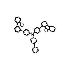 C1=CC(N(c2ccc(-c3cccc4c3oc3ccccc34)cc2)c2ccc(-c3cccc4c3oc3ccccc34)cc2)CC=C1c1ccccc1